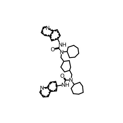 O=C(Nc1ccc2ncccc2c1)N(CC1CCC(CN(C(=O)Nc2ccc3ncccc3c2)C2CCCCCC2)CC1)C1CCCCCC1